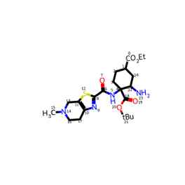 CCOC(=O)C1CCC(NC(=O)c2nc3c(s2)CN(C)CC3)(C(=O)OC(C)(C)C)C(N)C1